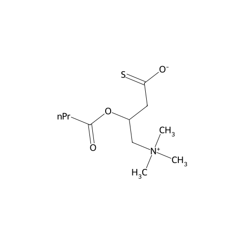 CCCC(=O)OC(CC([O-])=S)C[N+](C)(C)C